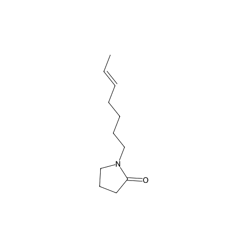 CC=CCCCCN1CCCC1=O